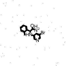 Cc1ccccc1C(Nc1cncc(Br)c1)C(N)=O